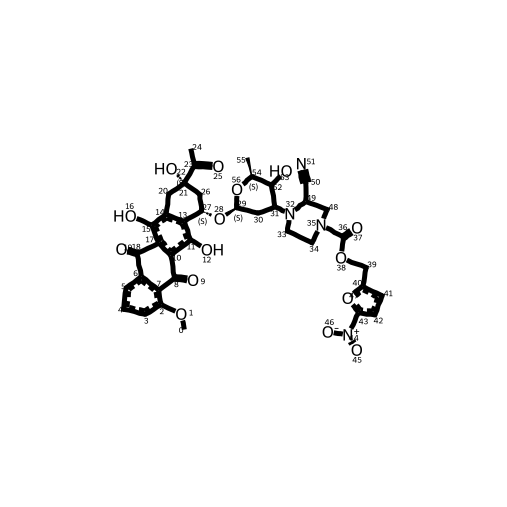 COc1cccc2c1C(=O)c1c(O)c3c(c(O)c1C2=O)C[C@@](O)(C(C)=O)C[C@@H]3O[C@@H]1CC(N2CCN(C(=O)OCc3ccc([N+](=O)[O-])o3)CC2C#N)C(O)[C@H](C)O1